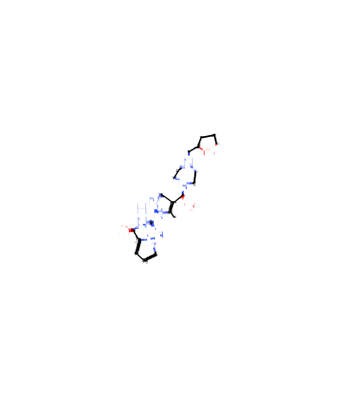 Cc1c(C(=O)N2CCN(CC3CCCO3)CC2)cnn1-c1nn2cccc2c(=O)[nH]1